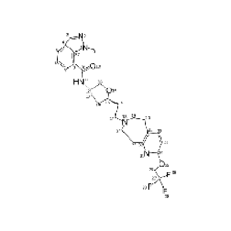 Cn1ncc2cccc(C(=O)N[C@H]3CC[C@H](CCN4CCc5ccc(OCC(F)(F)F)nc5CC4)OC3)c21